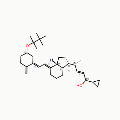 C=C1CC[C@H](O[Si](C)(C)C(C)(C)C)C/C1=C\C=C1/CCC[C@]2(C)[C@@H]([C@H](C)/C=C/[C@H](O)C3CC3)CC[C@@H]12